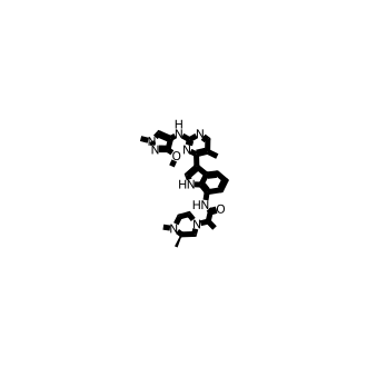 COc1nn(C)cc1Nc1ncc(C)c(-c2c[nH]c3c(NC(=O)C(C)N4CCN(C)[C@H](C)C4)cccc23)n1